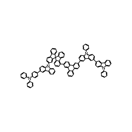 c1ccc(N(c2ccccc2)c2ccc(-c3ccc4c(c3)c3ccccc3n4-c3ccc4c(c3)C3(c5ccccc5-4)c4ccccc4-c4c(-c5ccc6c7cc(-c8ccc9c(c8)c8cc(-c%10ccc%11c(c%10)c%10ccccc%10n%11-c%10ccccc%10)ccc8n9-c8ccccc8)ccc7c7ccccc7c6c5)cccc43)cc2)cc1